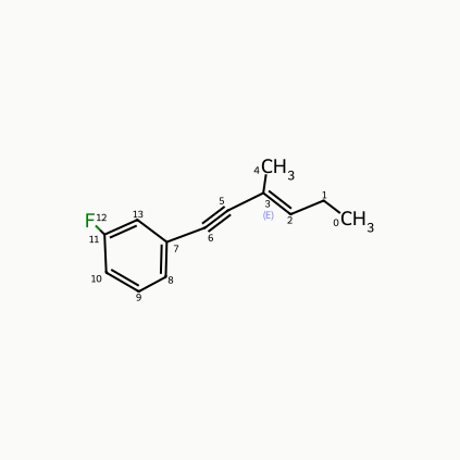 CC/C=C(\C)C#Cc1cccc(F)c1